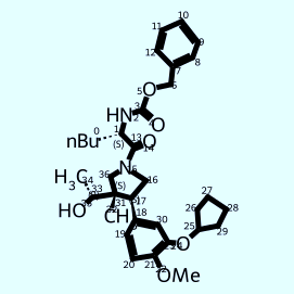 CCCC[C@H](NC(=O)OCc1ccccc1)C(=O)N1C[C@@H](c2ccc(OC)c(OC3CCCC3)c2)[C@](C)([C@@H](C)O)C1